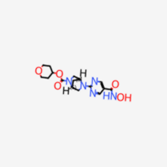 O=C(NO)c1cnc(N2C[C@@H]3C[C@H]2CN3C(=O)OC2CCOCC2)nc1